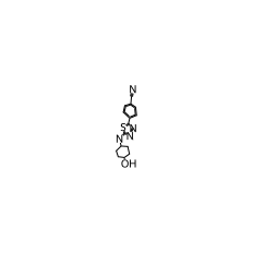 Cn1nc(-c2ccc(C#N)cc2)s/c1=N/C1CCC(O)CC1